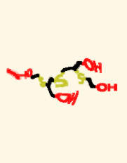 OCCSC(CO)CSCC(CO)SCCO